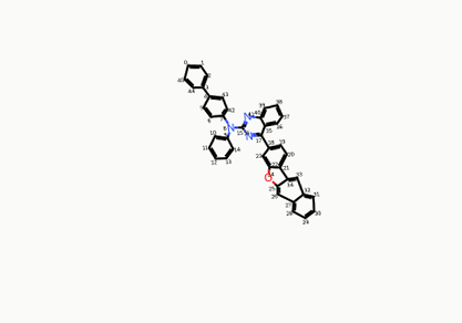 c1ccc(-c2ccc(N(c3ccccc3)c3nc(-c4ccc5c(c4)oc4cc6ccccc6cc45)c4ccccc4n3)cc2)cc1